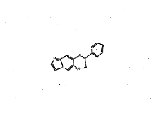 c1ccc(C2CNc3cn4ccnc4cc3O2)cc1